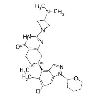 Cc1c(Cl)cc2c(cnn2C2CCCCO2)c1[C@@H]1Cc2nc(N3CC(N(C)C)C3)[nH]c(=O)c2C[C@H]1C